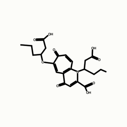 CCCC(CC(=O)O)Oc1cc2c(=O)cc(C(=O)O)n(C(CCC)CC(=O)O)c2ccc1=O